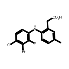 CCc1c(Cl)ccc(Nc2ccc(C)cc2CC(=O)O)c1F